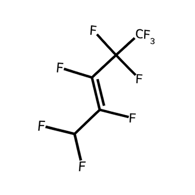 F/C(=C(/F)C(F)(F)C(F)(F)F)C(F)F